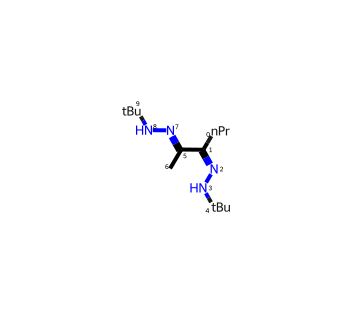 CCCC(=NNC(C)(C)C)C(C)=NNC(C)(C)C